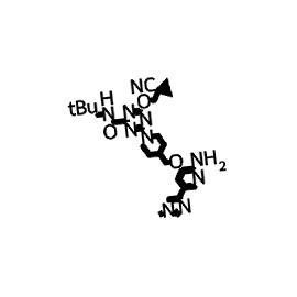 Cn1cnc(-c2cnc(N)c(OCC3CCN(c4nc(OCC5(C#N)CC5)nc(C(=O)NCC(C)(C)C)n4)CC3)c2)c1